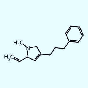 C=CC1C=C(CCCc2ccccc2)CN1C